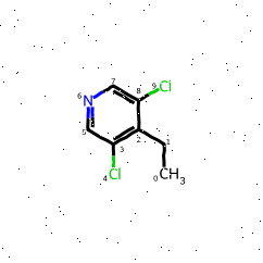 CCc1c(Cl)cncc1Cl